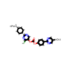 CCCCCCCCc1cnc(-c2ccc(OC(=O)Oc3cnc([C@H]4CC[C@H](CCCCC)CC4)nc3F)cc2)nc1